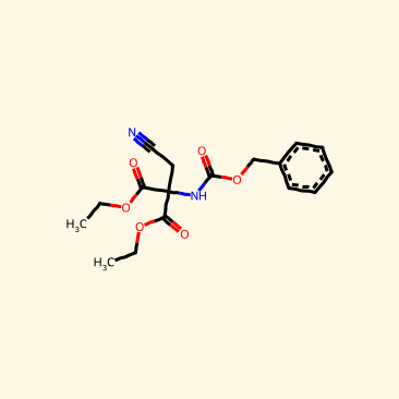 CCOC(=O)C(CC#N)(NC(=O)OCc1ccccc1)C(=O)OCC